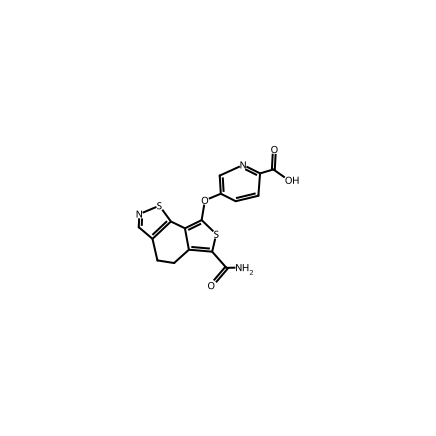 NC(=O)c1sc(Oc2ccc(C(=O)O)nc2)c2c1CCc1cnsc1-2